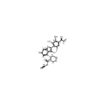 CNC(=O)c1cc(F)c(-c2nc3cc(C)ccn3c2C[C@H]2CN(C(=O)CC#N)CCO2)c(F)c1F